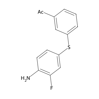 CC(=O)c1cccc(Sc2ccc(N)c(F)c2)c1